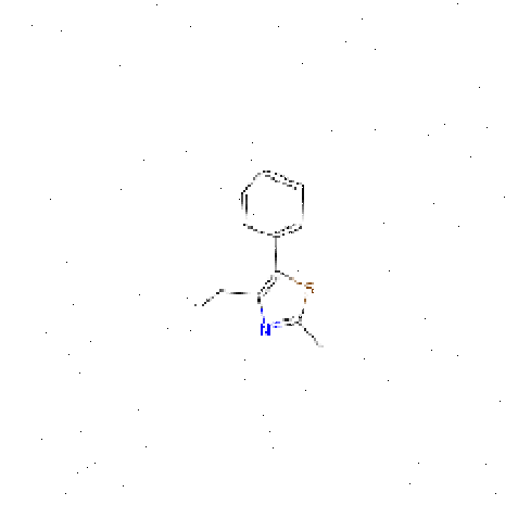 [CH2]Cc1nc(C)sc1-c1ccccc1